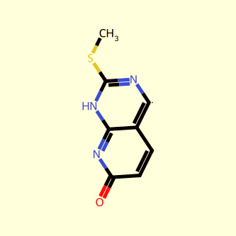 CSc1n[c]c2ccc(=O)nc-2[nH]1